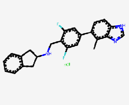 Cc1c(-c2cc(F)c(CNC3Cc4ccccc4C3)c(F)c2)ccc2[nH]cnc12.Cl